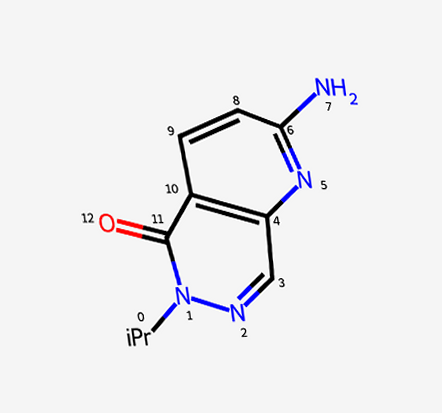 CC(C)n1ncc2nc(N)ccc2c1=O